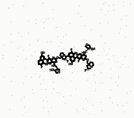 CCc1c(F)ccc2cc(O)cc(-c3ncc4c(NC[C@H]5COC[C@H]5O)nc(OC[C@@]56CCCN5C(c5cc(F)c(CC)c7c(-c8ncc9c(NC[C@@H]%10COC[C@@H]%10O)nc(OC[C@@]%10%11CCCN%10C[C@H](F)C%11)nc9c8F)cc(O)cc57)[C@H](F)C6)nc4c3F)c12